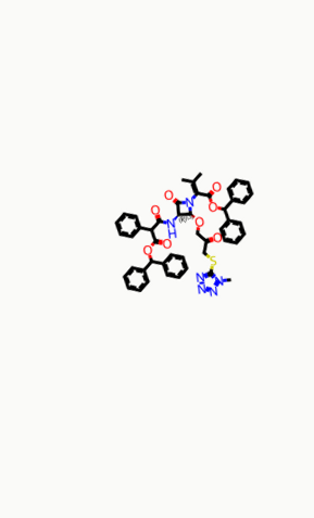 CC(C)=C(C(=O)OC(c1ccccc1)c1ccccc1)N1C(=O)[C@H](NC(=O)C(C(=O)OC(c2ccccc2)c2ccccc2)c2ccccc2)[C@@H]1OCC(=O)CSc1nnnn1C